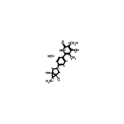 Cc1c(-c2ccc(N3C[C@@H]4[C@H](N)[C@@H]4C3)cc2)[nH]c(=O)c(C(=O)O)c1O.Cl